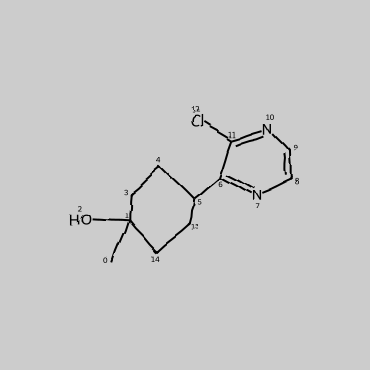 CC1(O)CCC(c2nccnc2Cl)CC1